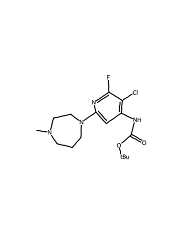 CN1CCCN(c2cc(NC(=O)OC(C)(C)C)c(Cl)c(F)n2)CC1